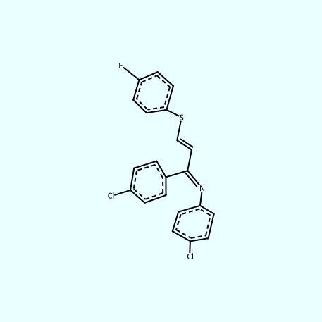 Fc1ccc(S/C=C/C(=N/c2ccc(Cl)cc2)c2ccc(Cl)cc2)cc1